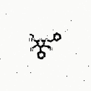 CCNc1nc(SCc2ccccc2)c(C#N)c(-c2ccccc2)c1C#N